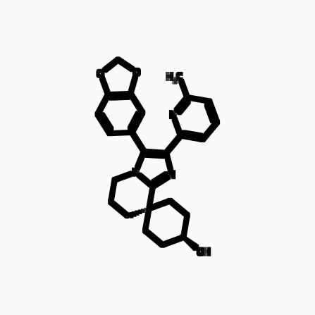 Cc1cccc(-c2nc3n(c2-c2ccc4c(c2)OCO4)CCC[C@]32CC[C@H](O)CC2)n1